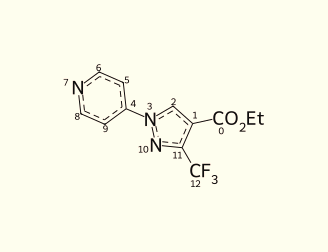 CCOC(=O)c1cn(-c2ccncc2)nc1C(F)(F)F